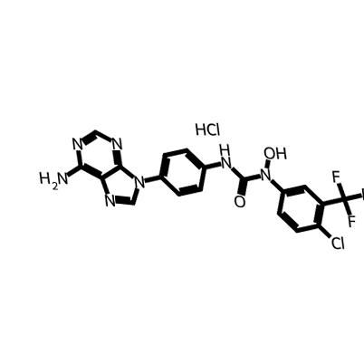 Cl.Nc1ncnc2c1ncn2-c1ccc(NC(=O)N(O)c2ccc(Cl)c(C(F)(F)F)c2)cc1